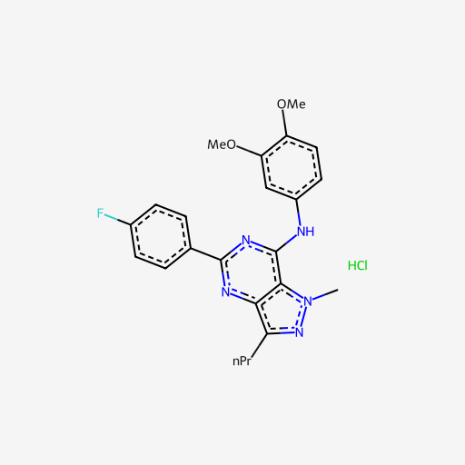 CCCc1nn(C)c2c(Nc3ccc(OC)c(OC)c3)nc(-c3ccc(F)cc3)nc12.Cl